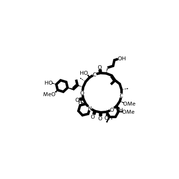 CO[C@H]1C[C@@H](C)C/C(C)=C/[C@@H](CCCO)C(=O)C[C@H](O)[C@@H](C)[C@@H](/C(C)=C/[C@@H]2CC[C@@H](O)[C@H](OC)C2)OC(=O)[C@@H]2CCCCN2C(=O)C(=O)[C@]2(O)O[C@H]1[C@@H](OC)C[C@H]2C